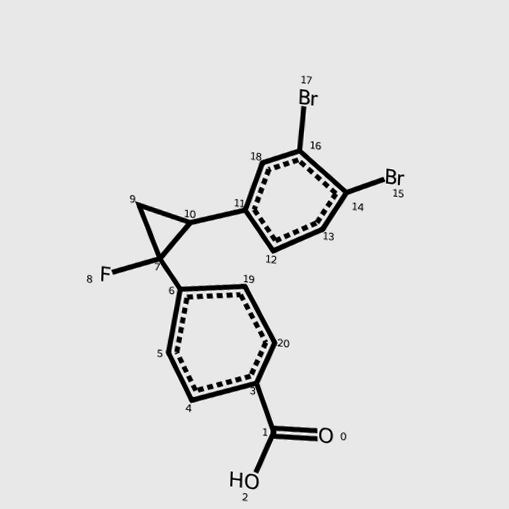 O=C(O)c1ccc(C2(F)CC2c2ccc(Br)c(Br)c2)cc1